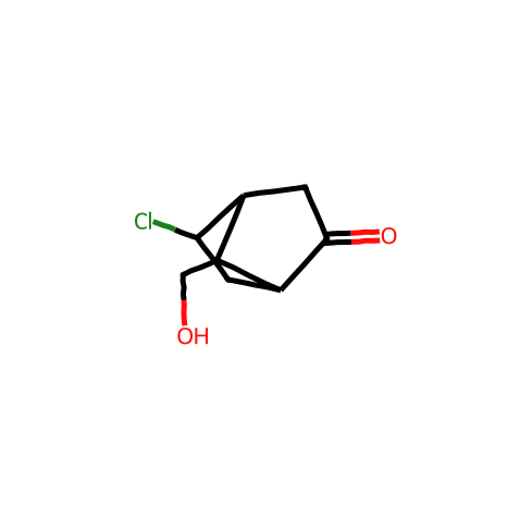 O=C1CC2C(Cl)CC1C2CO